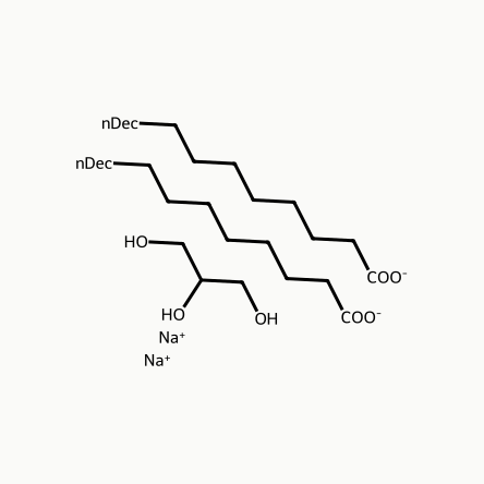 CCCCCCCCCCCCCCCCCC(=O)[O-].CCCCCCCCCCCCCCCCCC(=O)[O-].OCC(O)CO.[Na+].[Na+]